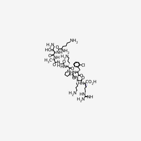 C[C@H](NC(=O)[C@@H](NC(=O)[C@@H](N)CCCCN)[C@@H](O)CN)C(=O)NCC(=O)N[C@H](CCCN)C(=O)N1CCC[C@H]1C(=O)N[C@@H](Cc1ccccc1Cl)C(=O)N[C@@H](CCCCN)C(=O)N/C(=C\CCNC(=N)N)C(=O)O